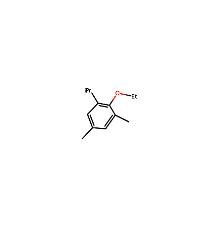 CCOc1c(C)cc(C)cc1C(C)C